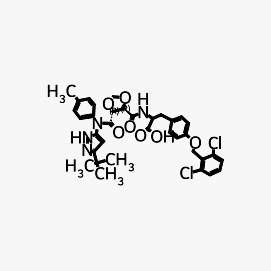 Cc1ccc(N(C(=O)[C@@H]2OCO[C@H]2C(=O)NC(Cc2ccc(OCc3c(Cl)cccc3Cl)cc2)C(=O)O)c2cc(C(C)(C)C)n[nH]2)cc1